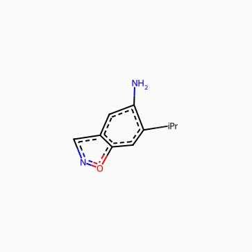 CC(C)c1cc2oncc2cc1N